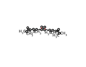 Cc1cc(C)cc(-n2c3ccccc3c3cc(-c4ccc5c(c4)C(C)(C)c4cc(/C=C/c6ccc7c(c6)C6(c8ccccc8-c8ccccc86)c6cc(/C=C/c8ccc9c(c8)C(C)(C)c8cc(-c%10ccc%11c(c%10)c%10ccccc%10n%11-c%10cc(C)cc(C)c%10)ccc8-9)ccc6-7)ccc4-5)ccc32)c1